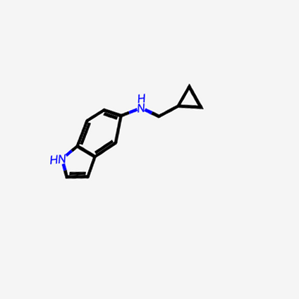 c1cc2cc(NCC3CC3)ccc2[nH]1